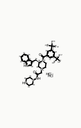 Cl.Cl.O=C(CN1CCN(C(=O)c2cc(C(F)(F)F)cc(C(F)(F)F)c2)[C@H](Cc2c[nH]c3ccccc23)C1)NN1CCNCC1